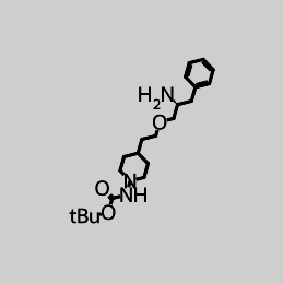 CC(C)(C)OC(=O)NN1CCC(CCOC[C@H](N)Cc2ccccc2)CC1